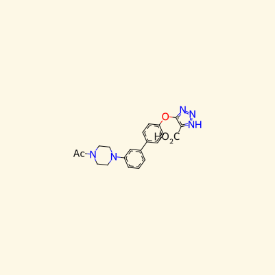 CC(=O)N1CCN(c2cccc(-c3ccc(Oc4nn[nH]c4C(=O)O)cc3)c2)CC1